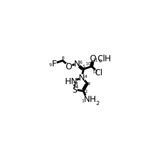 Cl.NC1=CN(/C(=N\OCF)C(=O)Cl)NS1